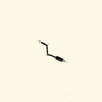 N#CCCF